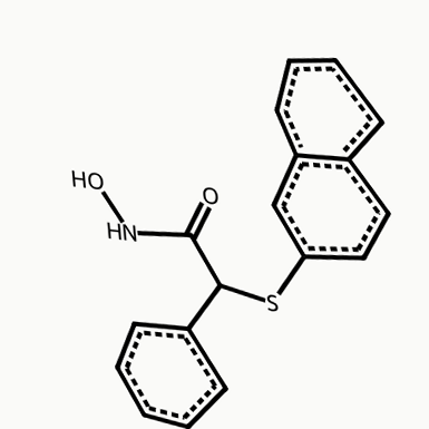 O=C(NO)C(Sc1ccc2ccccc2c1)c1ccccc1